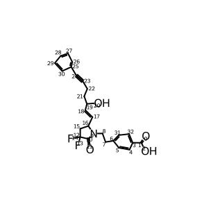 O=C(O)c1ccc(CCN2C(=O)C(F)(F)CC2C=CC(O)CCC#Cc2ccccc2)cc1